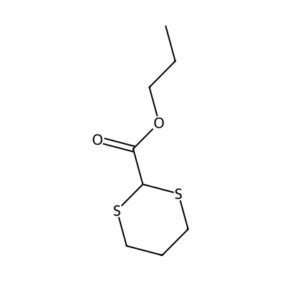 CCCOC(=O)C1SCCCS1